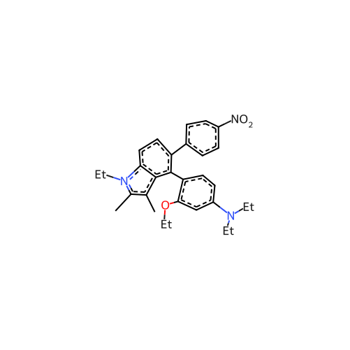 CCOc1cc(N(CC)CC)ccc1-c1c(-c2ccc([N+](=O)[O-])cc2)ccc2c1c(C)c(C)n2CC